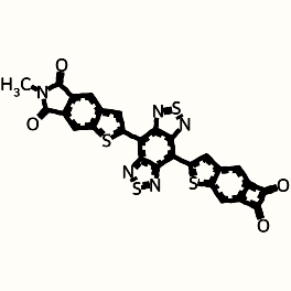 CN1C(=O)c2cc3cc(-c4c5c(c(-c6cc7cc8c(=O)c(=O)c8cc7s6)c6nsnc46)N=S=N5)sc3cc2C1=O